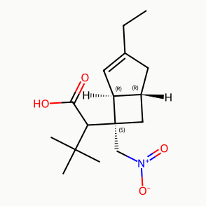 CCC1=C[C@H]2[C@H](C1)C[C@@]2(C[N+](=O)[O-])C(C(=O)O)C(C)(C)C